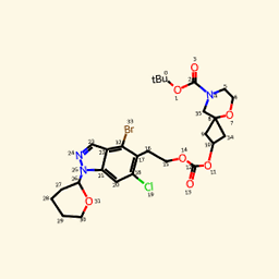 CC(C)(C)OC(=O)N1CCOC2(CC(OC(=O)OCCc3c(Cl)cc4c(cnn4C4CCCCO4)c3Br)C2)C1